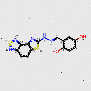 Oc1ccc(O)c(/C=N/Nc2nc3c(ccc4nsnc43)s2)c1